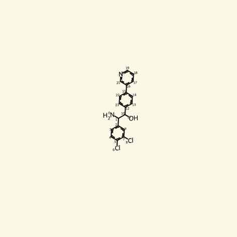 NC(c1ccc(Cl)c(Cl)c1)C(O)c1ccc(-c2cccnc2)cc1